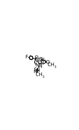 COC1=CC(=O)N(c2nc(-c3nc(C)ns3)n3c2C(C)N(C(=O)c2ccc(F)cc2)CC3)C1